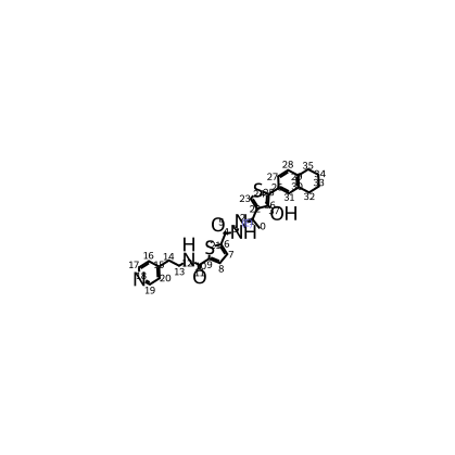 C/C(=N\NC(=O)c1ccc(C(=O)NCCc2ccncc2)s1)c1csc(-c2ccc3c(c2)CCCC3)c1O